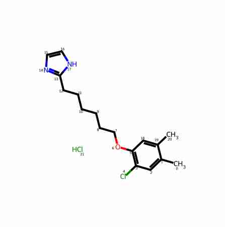 Cc1cc(Cl)c(OCCCCCCc2ncc[nH]2)cc1C.Cl